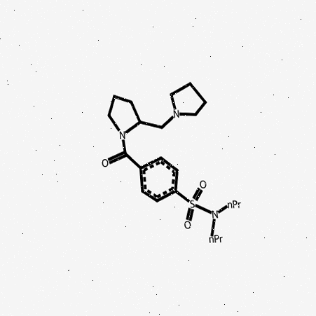 CCCN(CCC)S(=O)(=O)c1ccc(C(=O)N2CCCC2CN2CCCC2)cc1